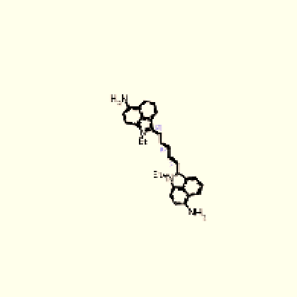 CCn1\c(=C/C=C/C=C/C2=[N+](CC)c3ccc(N)c4cccc2c34)c2cccc3c(N)ccc1c32